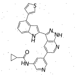 O=C(Nc1cncc(-c2cnc3[nH]nc(-c4cc5c(-c6ccsc6)cccc5[nH]4)c3c2)c1)C1CC1